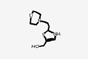 OCC1=CNC(CN2CCOCC2)S1